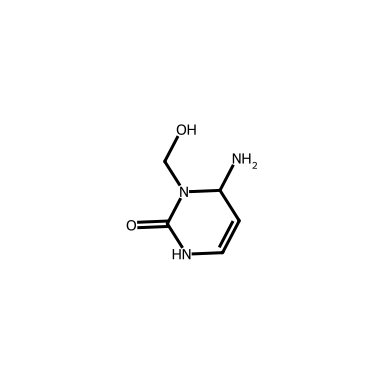 NC1C=CNC(=O)N1CO